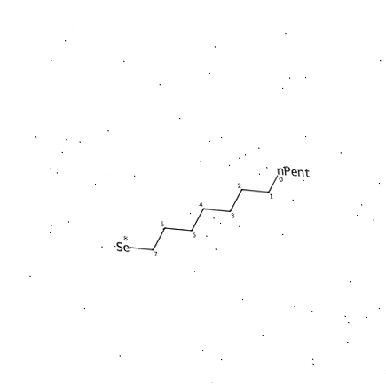 CCCCCCCCCCCC[Se]